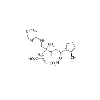 CC(C)(CNc1ccncn1)NCC(=O)N1CCC[C@H]1C#N.O=C(O)/C=C/C(=O)O